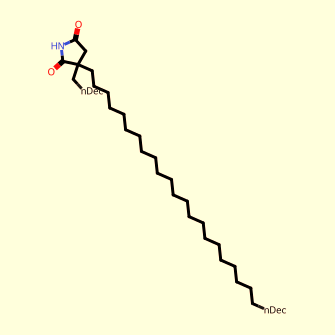 CCCCCCCCCCCCCCCCCCCCCCCCCCCCCCCCC1(CCCCCCCCCCC)CC(=O)NC1=O